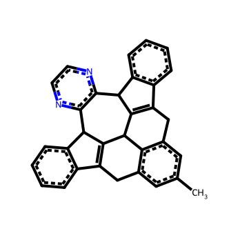 Cc1cc2c3c(c1)CC1=C4C3C3=C(C2)c2ccccc2C3c2nccnc2C4c2ccccc21